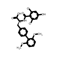 COc1cccc(OC)c1-c1ccc(C[C@H](NC(=O)c2c(Cl)cc(O)cc2Cl)C(=O)O)cc1